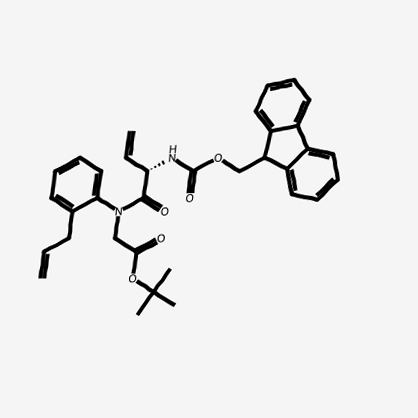 C=CCc1ccccc1N(CC(=O)OC(C)(C)C)C(=O)[C@H](C=C)NC(=O)OCC1c2ccccc2-c2ccccc21